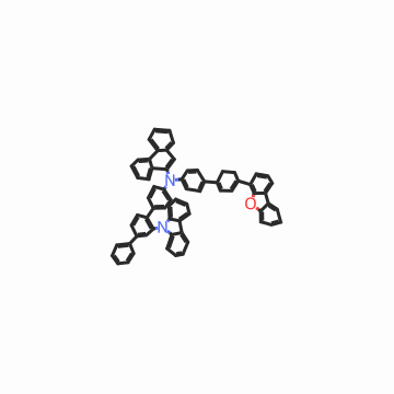 C1=C(c2ccc(N(c3ccc(-c4ccc(-c5ccccc5)cc4-n4c5ccccc5c5ccccc54)cc3)c3cc4ccccc4c4ccccc34)cc2)CCC(c2cccc3c2oc2ccccc23)=C1